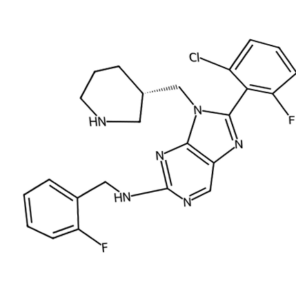 Fc1ccccc1CNc1ncc2nc(-c3c(F)cccc3Cl)n(C[C@H]3CCCNC3)c2n1